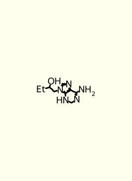 CCC(O)Cn1cnc2c1NCN=C2N